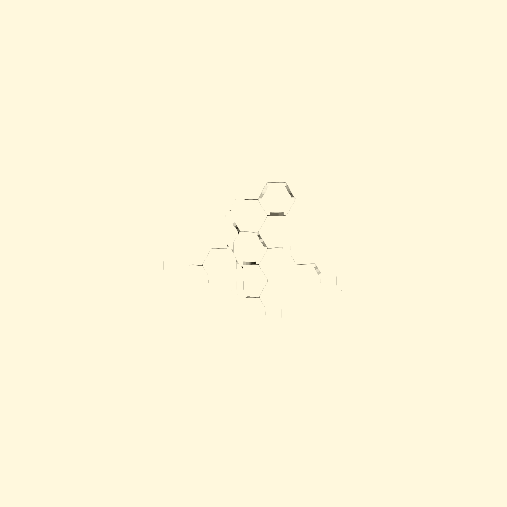 C=CCOc1c(CC(C)C)nn(CC(C)C)c(=O)c1-c1ccccc1C